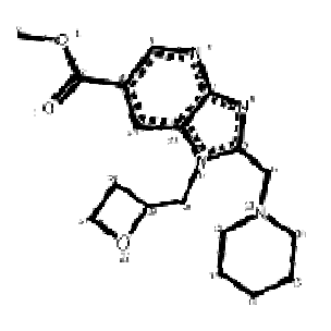 COC(=O)c1cnc2nc(CN3CCCCC3)n(CC3CCO3)c2c1